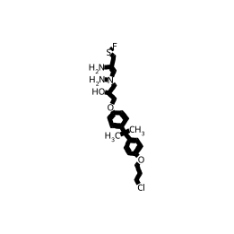 CC(C)(c1ccc(OCCCCl)cc1)c1ccc(OCC(O)CN(N)/C=C(\N)CSF)cc1